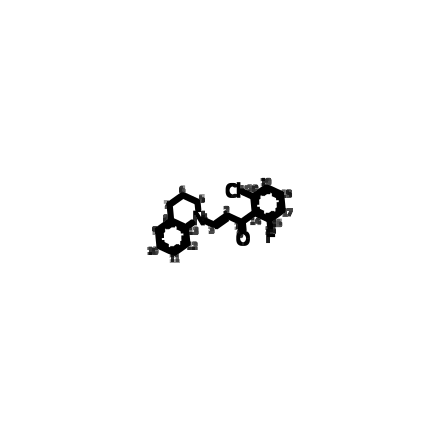 O=C(C=CN1CCCc2ccccc21)c1c(F)cccc1Cl